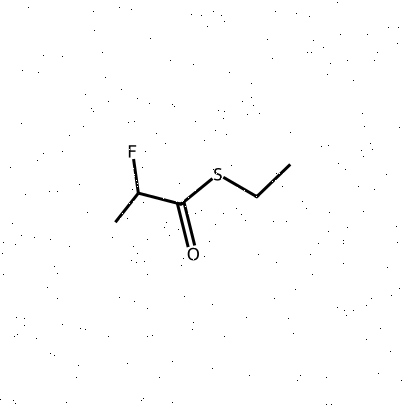 CCSC(=O)C(C)F